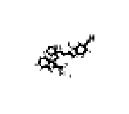 Cn1c(CC[C@@]2(Cc3c(C(N)=O)sc4ccccc34)CCCN2)cc2ccc(C#N)cc21